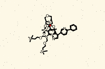 CC(C)(C)OC(=O)N1C2COCC1CC(c1nc3c(-c4ccc(-c5ccccc5)nc4)cnn3c(N(COCC[Si](C)(C)C)COCC[Si](C)(C)C)c1S(C)(=O)=O)C2